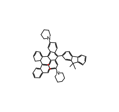 CC1(C)c2ccccc2-c2ccc(-c3c4ccc(N5CCCCC5)cc4c(C4=CC=CCC4c4cccc5ccccc45)c4ccc(N5CCCCC5)cc34)cc21